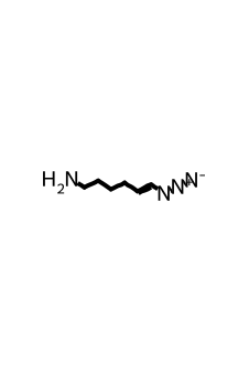 [N-]=[N+]=NC=CCCCCN